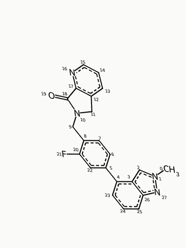 Cn1cc2c(-c3ccc(CN4Cc5cccnc5C4=O)c(F)c3)cccc2n1